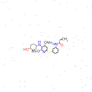 C=CC(=O)Nc1cccc(Sc2cc(OC)c(NC3CCC(O)CC3)c(OC)n2)c1